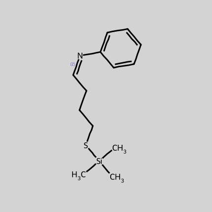 C[Si](C)(C)SCCC/C=N\c1ccccc1